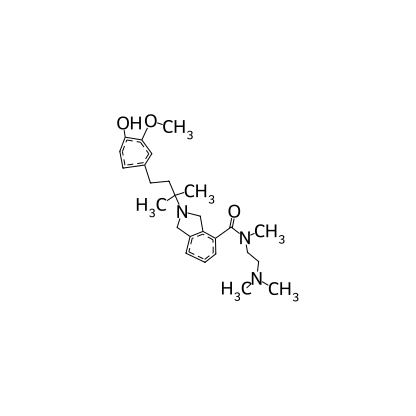 COc1cc(CCC(C)(C)N2Cc3cccc(C(=O)N(C)CCN(C)C)c3C2)ccc1O